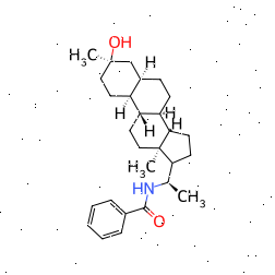 C[C@@H](NC(=O)c1ccccc1)C1CC[C@H]2[C@@H]3CC[C@@H]4C[C@](C)(O)CC[C@@H]4[C@H]3CC[C@]12C